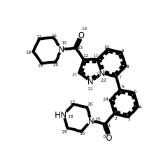 O=C(c1cccc(-c2cccc3c(C(=O)N4CCCCC4)cnn23)c1)N1CCNCC1